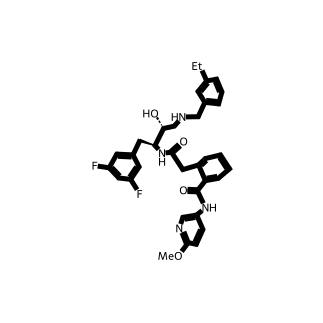 CCc1cccc(CNC[C@@H](O)[C@H](Cc2cc(F)cc(F)c2)NC(=O)Cc2ccccc2C(=O)Nc2ccc(OC)nc2)c1